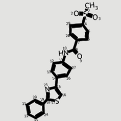 CS(=O)(=O)c1ccc(C(=O)Nc2ccc(-c3csc(-c4ccccc4)n3)cc2)cc1